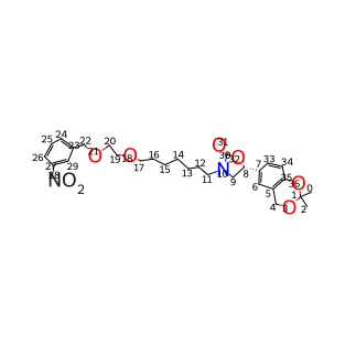 CC1(C)OCc2cc([C@@H]3CN(CCCCCCCOCCOCc4cccc([N+](=O)[O-])c4)C(=O)O3)ccc2O1